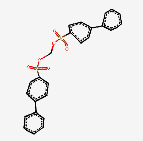 O=S(=O)(OCOS(=O)(=O)c1ccc(-c2ccccc2)cc1)c1ccc(-c2ccccc2)cc1